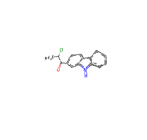 BC(Cl)C(=O)c1ccc2c(c1)[nH]c1ccccc12